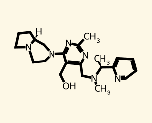 Cc1nc(CN(C)[C@@H](C)c2ccccn2)c(CO)c(N2CCN3CCC[C@H]3C2)n1